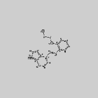 ClCCOc1ccccc1C=Cc1cccc2[nH]ccc12